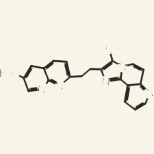 Cc1c(CCc2ccc3cc(C(F)(F)F)cnc3n2)nc2c3cccnc3ccn12